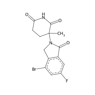 CC1(N2Cc3c(Br)cc(F)cc3C2=O)CCC(=O)NC1=O